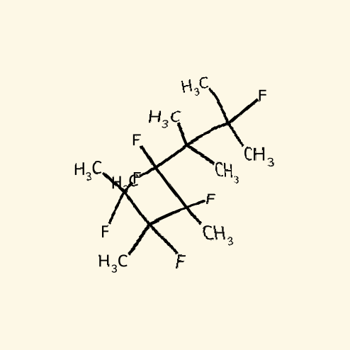 CC(C)(F)C(C)(C)C(C)(F)C(C)(F)C(C)(F)C(C)(F)F